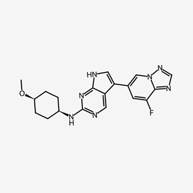 CO[C@H]1CC[C@@H](Nc2ncc3c(-c4cc(F)c5ncnn5c4)c[nH]c3n2)CC1